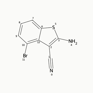 N#Cc1c(N)sc2cccc(Br)c12